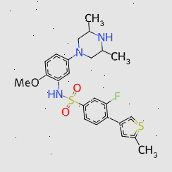 COc1ccc(N2CC(C)NC(C)C2)cc1NS(=O)(=O)c1ccc(-c2csc(C)c2)c(F)c1